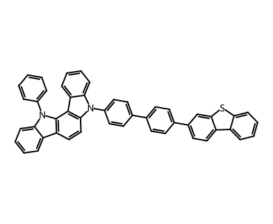 c1ccc(-n2c3ccccc3c3ccc4c(c5ccccc5n4-c4ccc(-c5ccc(-c6ccc7c(c6)sc6ccccc67)cc5)cc4)c32)cc1